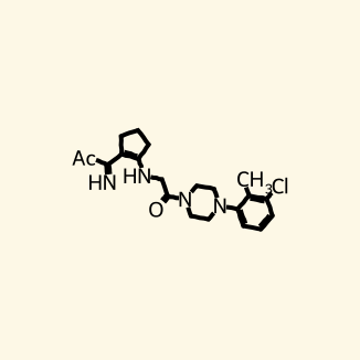 CC(=O)C(=N)C1=C(NCC(=O)N2CCN(c3cccc(Cl)c3C)CC2)CCC1